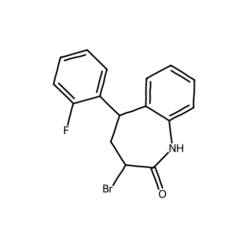 O=C1Nc2ccccc2C(c2ccccc2F)CC1Br